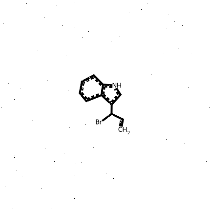 C=CC(Br)c1c[nH]c2ccccc12